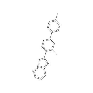 Cc1ccc(-c2ccc(-c3cn4ncccc4n3)c(C)c2)cc1